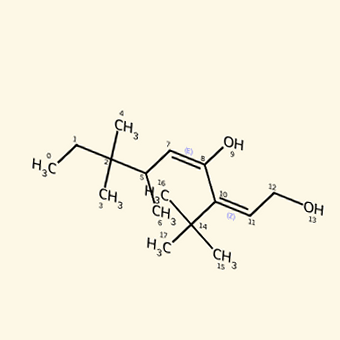 CCC(C)(C)C(C)/C=C(O)\C(=C/CO)C(C)(C)C